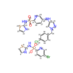 O=S(=O)(Nc1nccs1)c1ccc(Br)cn1.O=S(=O)(Nc1nccs1)c1ccc(Nc2cnn(Cc3ccc(Cl)cc3)c2)cn1